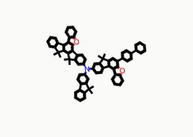 CC1(C)c2ccccc2-c2ccc(N(c3ccc4c(c3)C(C)(C)c3cc(-c5ccc(-c6ccccc6)cc5)c5oc6ccccc6c5c3-4)c3ccc4c(c3)C(C)(C)c3c5c(c6c(oc7ccccc76)c3-4)-c3ccccc3C5(C)C)cc21